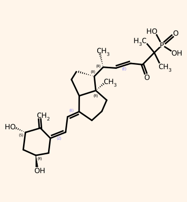 C=C1/C(=C\C=C2/CCC[C@@]3(C)C2CC[C@@H]3[C@H](C)/C=C/C(=O)C(C)(C)P(=O)(O)O)C[C@@H](O)C[C@@H]1O